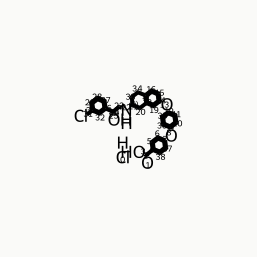 Cl.O=C(O)c1ccc(Oc2ccc(Oc3ccc4c(c3)C[C@@H](NC[C@@H](O)c3cccc(Cl)c3)CC4)cc2)cc1